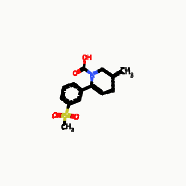 CC1CC=C(c2cccc(S(C)(=O)=O)c2)N(C(=O)O)C1